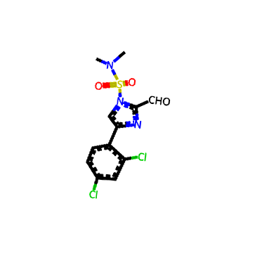 CN(C)S(=O)(=O)n1cc(-c2ccc(Cl)cc2Cl)nc1C=O